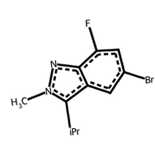 CC(C)c1c2cc(Br)cc(F)c2nn1C